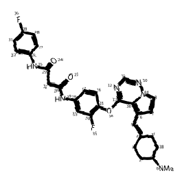 CNC1CCC(=Cc2ccn3ncnc(Oc4ccc(NC(=O)CC(=O)Nc5ccc(F)cc5)cc4F)c23)CC1